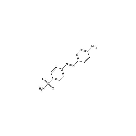 Nc1ccc(N=Nc2ccc(S(N)(=O)=O)cc2)cc1